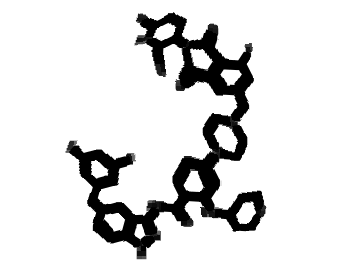 O=C1CCC(N2C(=O)c3cc(CN4CCN(c5ccc(C(=O)Nc6n[nH]c7ccc(Cc8cc(F)cc(F)c8)cc67)c(NC6CCOCC6)c5)CC4)cc(F)c3C2=O)C(=O)N1